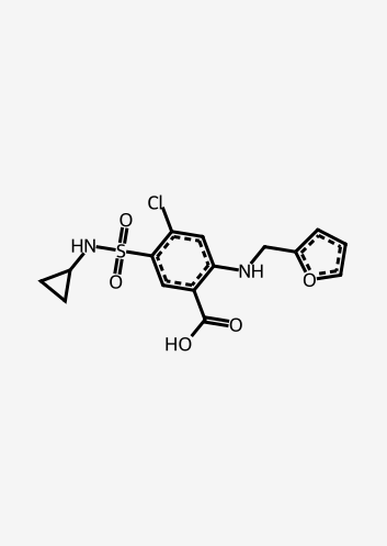 O=C(O)c1cc(S(=O)(=O)NC2CC2)c(Cl)cc1NCc1ccco1